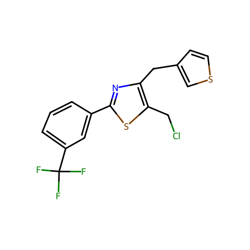 FC(F)(F)c1cccc(-c2nc(Cc3ccsc3)c(CCl)s2)c1